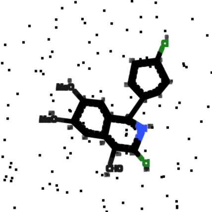 COc1cc2c(-c3ccc(Cl)cc3)nc(Cl)c(C=O)c2cc1OC